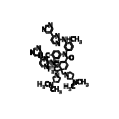 Cc1ccc(N(C(=O)C2=CC(C(F)(F)F)(C(F)(F)F)C(CN3CC[C@H](N(C)C)C3)(CN3CC[C@H](N(C)C)C3)C=C2)c2ccc(C)c(Nc3nccc(-c4cncnc4)n3)c2)cc1Nc1nccc(-c2cncnc2)n1